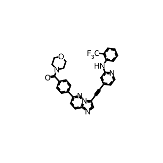 O=C(c1ccc(-c2ccc3ncc(C#Cc4ccnc(Nc5ccccc5C(F)(F)F)c4)n3n2)cc1)N1CCOCC1